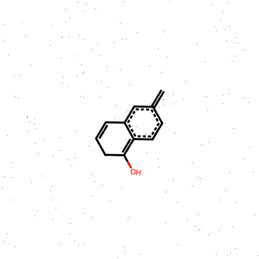 C=c1ccc2c(c1)C=CCC=2O